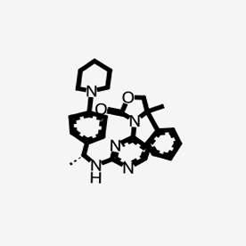 C[C@@H](Nc1nccc(N2C(=O)OCC2(C)c2ccccc2)n1)c1ccc(N2CCCCC2)cc1